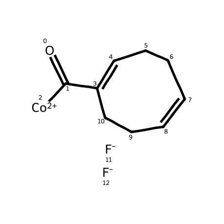 O=[C]([Co+2])C1=CCCC=CCC1.[F-].[F-]